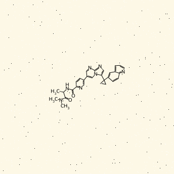 CC(NC(=O)c1ccc(-c2cnc3ncc(C4(c5ccc6ncccc6c5)CC4)n3c2)cn1)C(=O)N(C)C